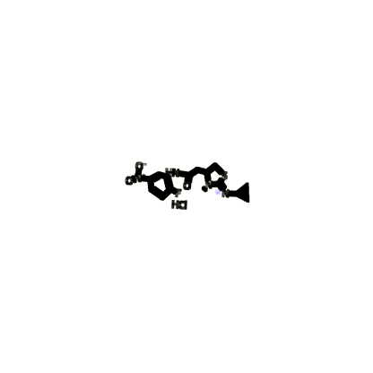 CN1/C(=N/C2CC2)SCC1CC(=O)Nc1cc([N+](=O)[O-])ccc1F.Cl